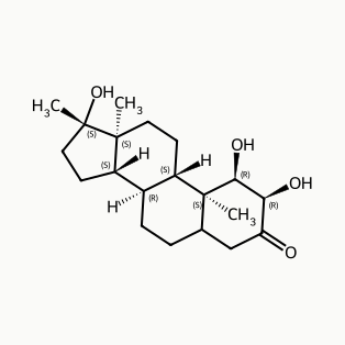 C[C@]12C(CC[C@@H]3[C@@H]1CC[C@@]1(C)[C@H]3CC[C@]1(C)O)CC(=O)[C@H](O)[C@@H]2O